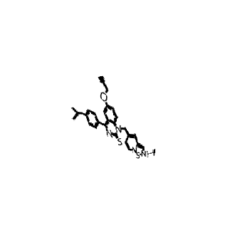 C#CCOc1ccc2c(c1)c(-c1ccc(C(C)C)cc1)nc(=S)n2CC1=CC2=CNSN2C=C1